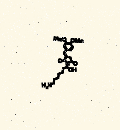 COc1ccc(/C=C2\CC(=O)N(C(O)CCCCCCN)C2=O)cc1OC